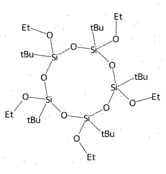 CCO[Si]1(C(C)(C)C)O[Si](OCC)(C(C)(C)C)O[Si](OCC)(C(C)(C)C)O[Si](OCC)(C(C)(C)C)O[Si](OCC)(C(C)(C)C)O1